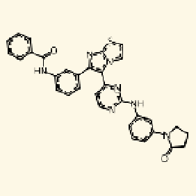 O=C(Nc1cccc(-c2nc3sccn3c2-c2ccnc(Nc3cccc(N4CCCC4=O)c3)n2)c1)c1ccccc1